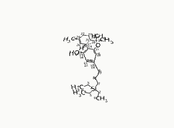 CC[Si](CC)(CC)CCCc1cc(O)c2c(c1)OC(C)(C)[C@@H]1CCC(C)=C[C@@H]21